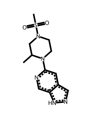 CC1CN(S(C)(=O)=O)CCN1c1cc2cn[nH]c2cn1